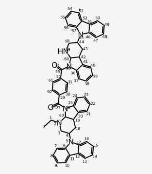 CCN1CC(n2c3ccccc3c3ccccc32)CC2c3ccccc3N(C(=O)c3ccc(C(=O)N4c5ccccc5C5CC(n6c7ccccc7c7ccccc76)CNC54)cc3)C21